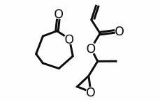 C=CC(=O)OC(C)C1CO1.O=C1CCCCCO1